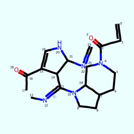 C=CC(=O)N1CCC2CCN(/C(=N/C)C3C(C(C)=O)=CNC3N=C)C2C1